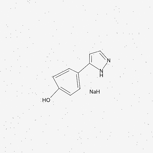 Oc1ccc(-c2ccn[nH]2)cc1.[NaH]